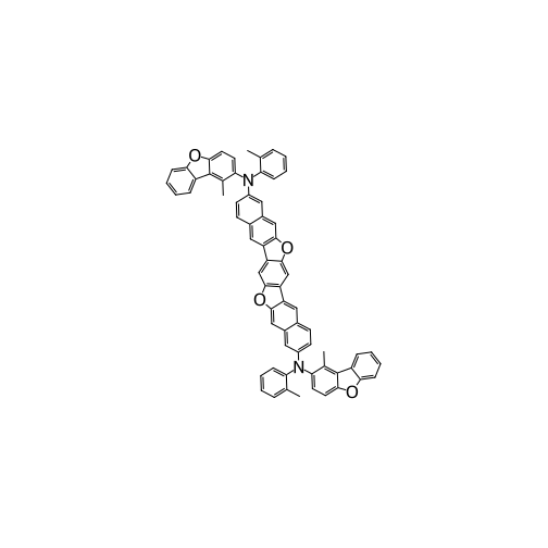 Cc1ccccc1N(c1ccc2cc3c(cc2c1)oc1cc2c(cc13)oc1cc3cc(N(c4ccccc4C)c4ccc5oc6ccccc6c5c4C)ccc3cc12)c1ccc2oc3ccccc3c2c1C